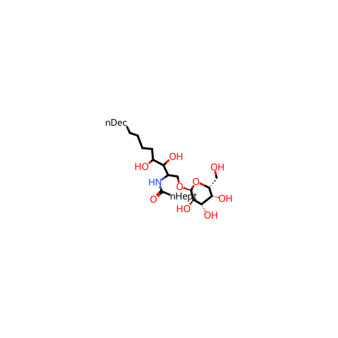 CCCCCCCCCCCCCCC(O)C(O)C(CO[C@H]1O[C@H](CO)[C@H](O)[C@H](O)[C@H]1O)NC(=O)CCCCCCC